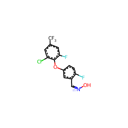 O/N=C\c1cc(Oc2c(F)cc(C(F)(F)F)cc2Cl)ccc1F